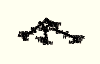 CCCC[C@@H](CC)OCCN(CCOP(=O)(O)OCCN(CCOP(=O)(O)OCCN(CCO)C(=O)CCCCCNC(=O)CCCCCOC1OC(CO)C(O)C(O)C1NC(C)=O)C(=O)CCCCCNC(=O)CCCCCOC1OC(CO)C(O)C(O)C1NC(C)=O)C(=O)CCCCCNC(=O)CCCCCOC1OC(CO)C(O)C(O)C1NC(C)=O